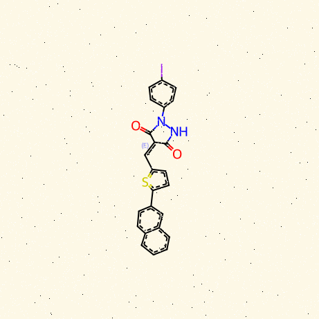 O=C1NN(c2ccc(I)cc2)C(=O)/C1=C/c1ccc(-c2ccc3ccccc3c2)s1